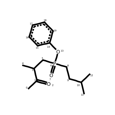 CC(=O)C(C)CP(=O)(CCC(C)C)Oc1ccccc1